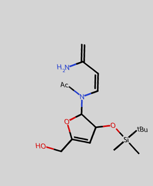 C=C(N)/C=C\N(C(C)=O)C1OC(CO)=CC1O[Si](C)(C)C(C)(C)C